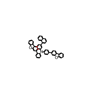 c1cc(-c2cccc3ccccc23)cc(N(c2ccc(-c3ccc4c(c3)oc3ccccc34)cc2)c2ccccc2-c2ccc3c(c2)oc2ccccc23)c1